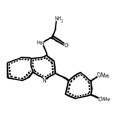 COc1ccc(-c2cc(NC(N)=O)c3ccccc3n2)cc1OC